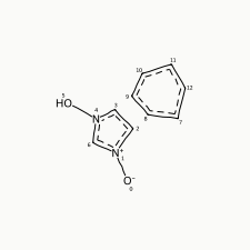 [O-][n+]1ccn(O)c1.c1ccccc1